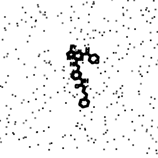 CC(C)c1cnn2c(NCc3cccc(NC(=O)C=CCN4CCCCC4)c3)nc(NC3CCOCC3)nc12